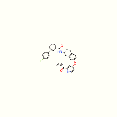 CNC(=O)c1cc(Oc2ccc3c(c2)CC(NC(=O)c2cccc(-c4ccc(F)cc4)c2)CC3)ccn1